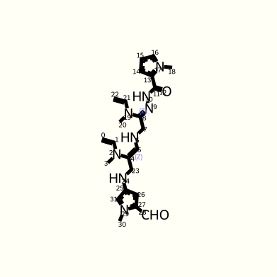 C=CN(C)/C(=C\NC/C(=N/NC(=O)c1cccn1C)N(C)C=C)CNc1cc(C=O)n(C)c1